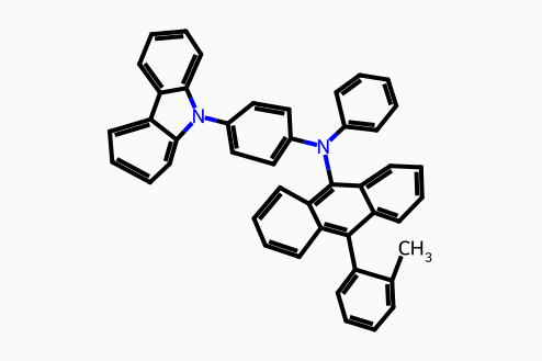 Cc1ccccc1-c1c2ccccc2c(N(c2ccccc2)c2ccc(-n3c4ccccc4c4ccccc43)cc2)c2ccccc12